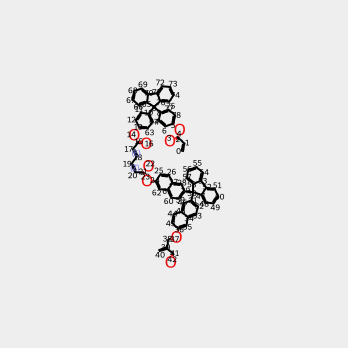 C=CC(=O)Oc1ccc(C2(c3ccc(OC(=O)/C=C/C=C\C(=O)Oc4ccc5cc(C6(c7ccc8cc(OCC(=C)C=O)ccc8c7)c7ccccc7-c7ccccc76)ccc5c4)cc3)c3ccccc3-c3ccccc32)cc1